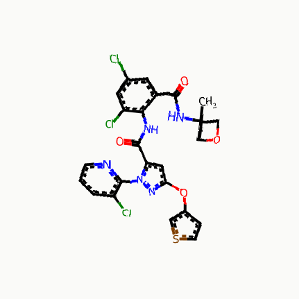 CC1(NC(=O)c2cc(Cl)cc(Cl)c2NC(=O)c2cc(Oc3ccsc3)nn2-c2ncccc2Cl)COC1